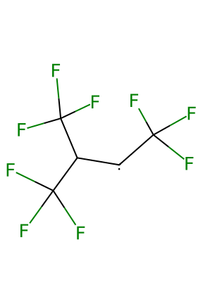 FC(F)(F)[CH]C(C(F)(F)F)C(F)(F)F